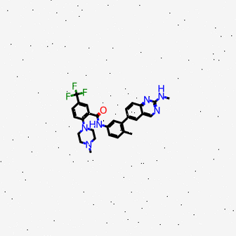 CNc1ncc2cc(-c3cc(NC(=O)c4cc(C(F)(F)F)ccc4N4CCN(C)CC4)ccc3C)ccc2n1